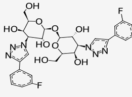 OC[C@H]1O[C@@H](O[C@@H]2O[C@H](CO)[C@H](O)[C@H](n3cc(-c4cccc(F)c4)nn3)[C@H]2O)[C@H](O)[C@@H](n2cc(-c3cccc(F)c3)nn2)[C@H]1O